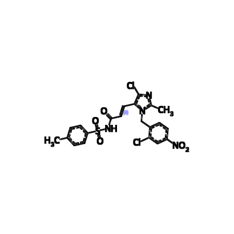 Cc1ccc(S(=O)(=O)NC(=O)/C=C/c2c(Cl)nc(C)n2Cc2ccc([N+](=O)[O-])cc2Cl)cc1